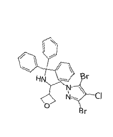 Clc1c(Br)nn(CC(NC(c2ccccc2)(c2ccccc2)c2ccccc2)C2COC2)c1Br